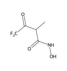 CC(C(=O)NO)C(=O)C(F)(F)F